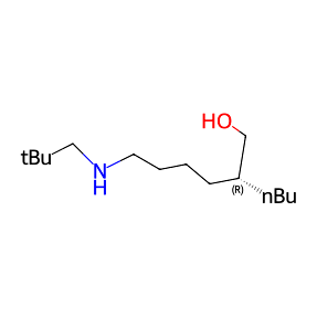 CCCC[C@@H](CO)CCCCNCC(C)(C)C